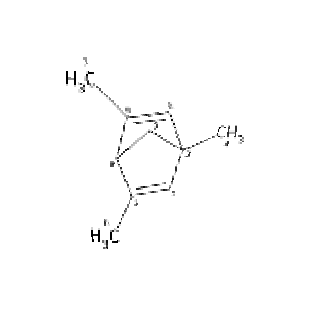 CC1=CC2(C)C=C(C)C1C2